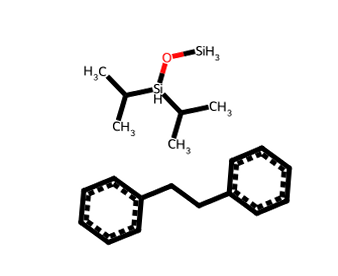 CC(C)[SiH](O[SiH3])C(C)C.c1ccc(CCc2ccccc2)cc1